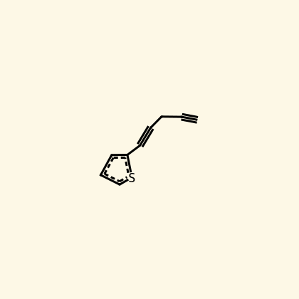 C#CCC#Cc1cccs1